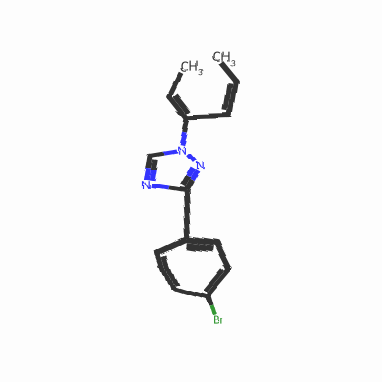 C/C=C\C(=C/C)n1cnc(-c2ccc(Br)cc2)n1